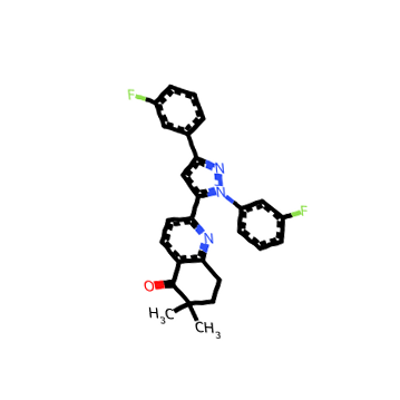 CC1(C)CCc2nc(-c3cc(-c4cccc(F)c4)nn3-c3cccc(F)c3)ccc2C1=O